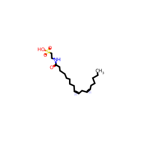 CCCCC/C=C\C/C=C\CCCCCCCC(=O)NCCS(=O)(=O)O